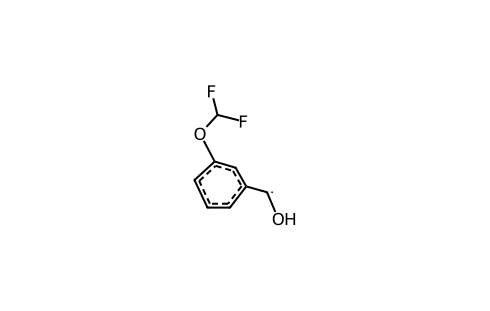 O[CH]c1cccc(OC(F)F)c1